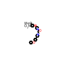 COc1cc(OC2CCN(C(=O)CCN3CCC(c4ccc(Oc5ccccc5)cc4)CC3)CC2)ccc1[N+](=O)[O-]